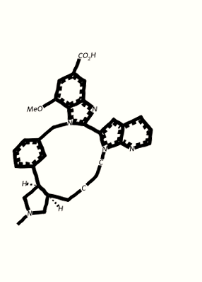 COc1cc(C(=O)O)cc2nc3n(c12)Cc1cccc(c1)[C@@H]1CN(C)C[C@@H]1CCCCn1c-3cc2cccnc21